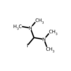 CN(C)C(I)N(C)C